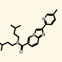 Cc1ccc(-c2cn3cc(C(=O)N(CCC(C)C)CCC(C)C)ccc3n2)nc1